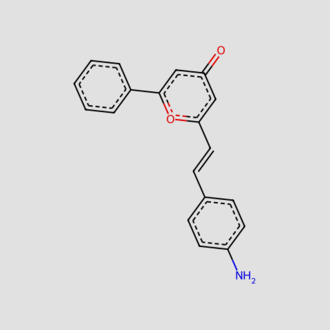 Nc1ccc(C=Cc2cc(=O)cc(-c3ccccc3)o2)cc1